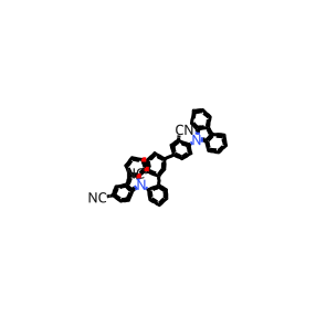 N#Cc1ccc2c(c1)c1ccccc1n2-c1ccccc1-c1cc(-c2ccc(-n3c4ccccc4c4ccccc43)c(C#N)c2)ccc1C#N